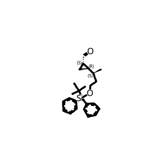 C[C@@H](CCO[Si](c1ccccc1)(c1ccccc1)C(C)(C)C)[C@H]1C[C@@H]1C=O